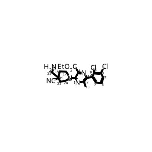 CCOC(=O)c1nc(-c2cccc(Cl)c2Cl)c(C)nc1N1CCC(C#N)(CN)CC1